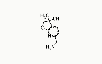 CC1(C)COc2nc(CN)ccc21